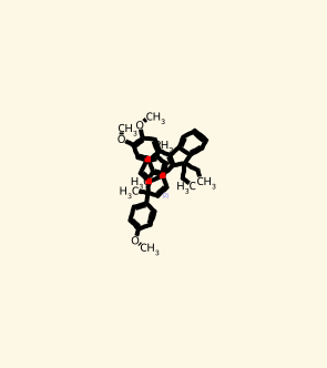 CCC1(CC)c2ccccc2-c2c1c(/C=C\C(C)(c1ccc(P)cc1)c1ccc(OC)cc1)c(C)c1cc(OC)c(OC)cc21